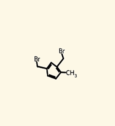 Cc1ccc(CBr)cc1CBr